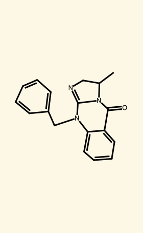 CC1CN=C2N(Cc3ccccc3)c3ccccc3C(=O)N21